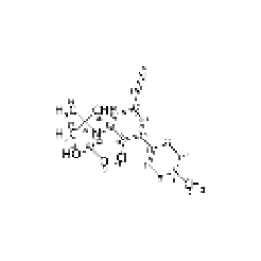 CN1CC=C(c2cc(C#N)cc(N(C(=O)O)C(C)(C)C)c2Cl)CC1